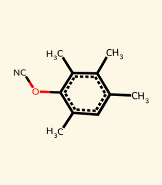 Cc1cc(C)c(OC#N)c(C)c1C